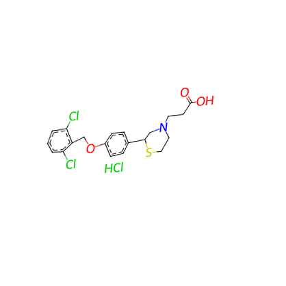 Cl.O=C(O)CCN1CCSC(c2ccc(OCc3c(Cl)cccc3Cl)cc2)C1